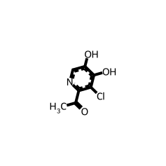 CC(=O)c1ncc(O)c(O)c1Cl